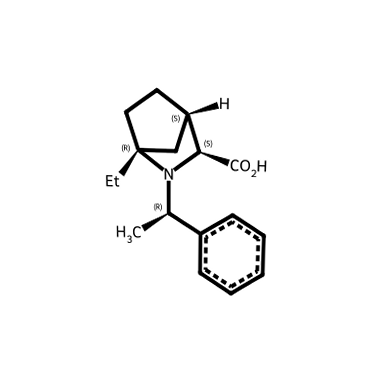 CC[C@@]12CC[C@@H](C1)[C@@H](C(=O)O)N2[C@H](C)c1ccccc1